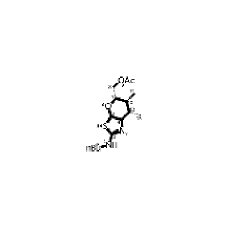 CCCCNC1=NC2C(O[C@H](COC(C)=O)[C@@H](C)[C@@H]2C)S1